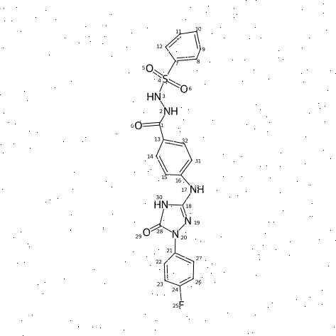 O=C(NNS(=O)(=O)c1ccccc1)c1ccc(Nc2nn(-c3ccc(F)cc3)c(=O)[nH]2)cc1